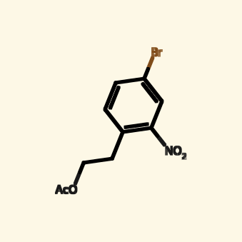 CC(=O)OCCc1ccc(Br)cc1[N+](=O)[O-]